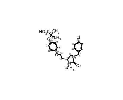 CN1C(=O)N(Cc2ccc(Cl)cc2)C[C@@H]1CCOc1ccc(OC(C)(C)C(=O)O)cc1